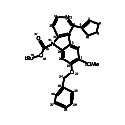 COc1cc2c3c(C4=CCCC4)nccc3n(C(=O)OC(C)(C)C)c2cc1OCc1ccccc1